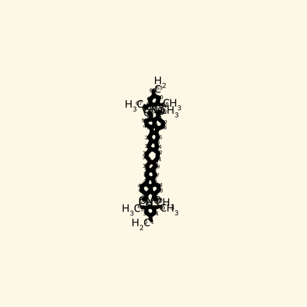 C=Cc1cc(C(C)C)c(-n2c(=O)c3ccc4c5cc6cc7ccc8cc9cc%10c(cc9cc8ccc7cc6cc5c5ccc(c2=O)c3c45)c2ccc3c(=O)n(-c4c(C(C)C)cc(C=C)cc4C(C)C)c(=O)c4ccc%10c2c43)c(C(C)C)c1